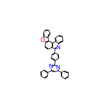 c1ccc(-c2cc(-c3ccccc3)nc(-c3ccc(-c4nc5ccccc5c5c4ccc4oc6ccccc6c45)cc3)n2)cc1